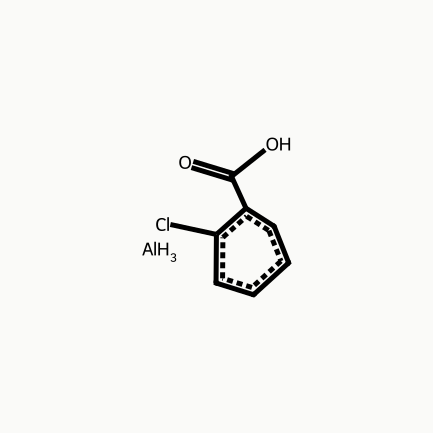 O=C(O)c1ccccc1Cl.[AlH3]